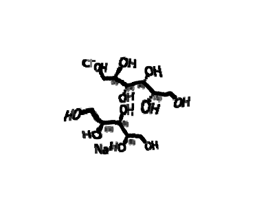 OC[C@@H](O)[C@@H](O)[C@H](O)[C@@H](O)CO.OC[C@@H](O)[C@H](O)[C@@H](O)CO.[Cl-].[Na+]